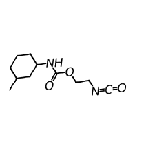 CC1CCCC(NC(=O)OCCN=C=O)C1